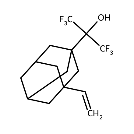 C=CC12CC3CC(C1)CC(C(O)(C(F)(F)F)C(F)(F)F)(C3)C2